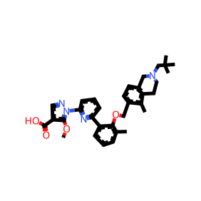 COc1c(C(=O)O)cnn1-c1cccc(-c2cccc(C)c2OCc2ccc3c(c2C)CCN(CC(C)(C)C)C3)n1